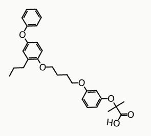 CCCc1cc(Oc2ccccc2)ccc1OCCCCOc1cccc(OC(C)(C)C(=O)O)c1